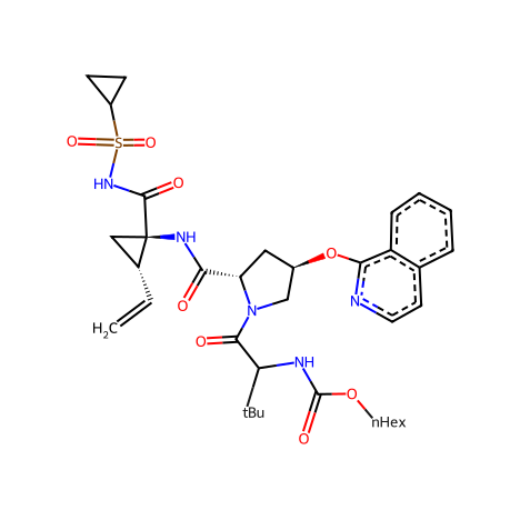 C=C[C@@H]1C[C@]1(NC(=O)[C@@H]1C[C@@H](Oc2nccc3ccccc23)CN1C(=O)C(NC(=O)OCCCCCC)C(C)(C)C)C(=O)NS(=O)(=O)C1CC1